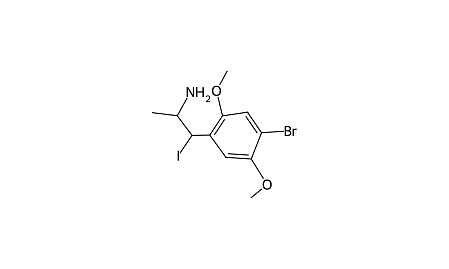 COc1cc(C(I)C(C)N)c(OC)cc1Br